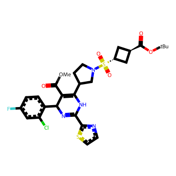 COC(=O)C1=C(C2CCN(S(=O)(=O)[C@H]3C[C@H](C(=O)OC(C)(C)C)C3)C2)NC(c2nccs2)=NC1c1ccc(F)cc1Cl